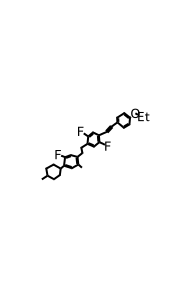 CCOc1ccc(C#Cc2cc(F)c(CCc3cc(F)c(C4CCC(C)CC4)cc3C)cc2F)cc1